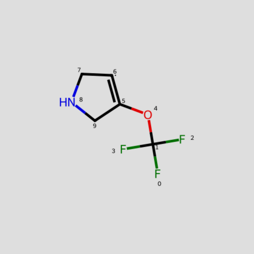 FC(F)(F)OC1=[C]CNC1